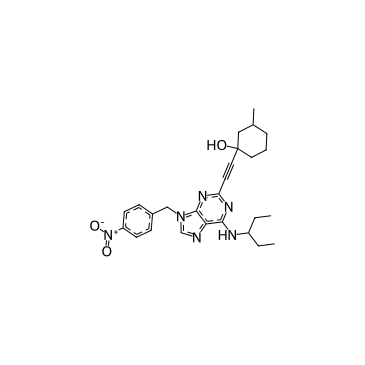 CCC(CC)Nc1nc(C#CC2(O)CCCC(C)C2)nc2c1ncn2Cc1ccc([N+](=O)[O-])cc1